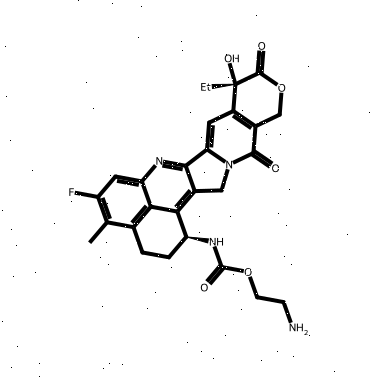 CC[C@@]1(O)C(=O)OCc2c1cc1n(c2=O)Cc2c-1nc1cc(F)c(C)c3c1c2[C@@H](NC(=O)OCCN)CC3